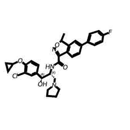 CC1ON=C(C(=O)N[C@H](CN2CCCC2)[C@H](O)c2ccc(OC3CC3)c(Cl)c2)c2ccc(-c3ccc(F)cc3)cc21